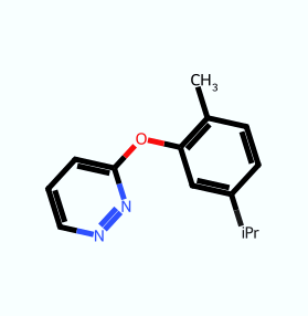 Cc1ccc(C(C)C)cc1Oc1cccnn1